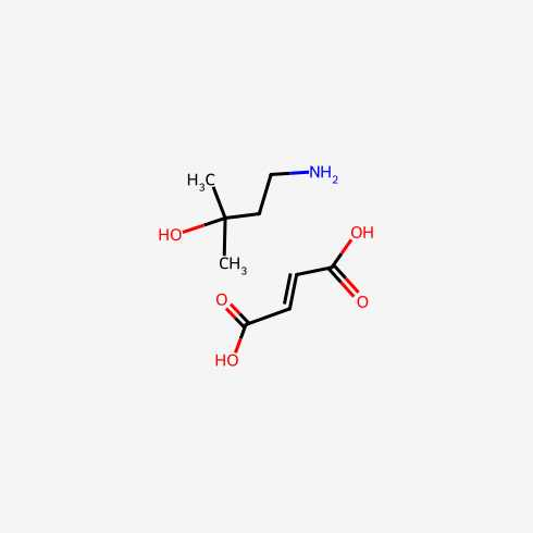 CC(C)(O)CCN.O=C(O)C=CC(=O)O